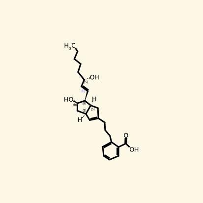 CCCCC[C@H](O)/C=C/[C@H]1[C@H]2CC(CCCc3ccccc3C(=O)O)=C[C@H]2C[C@H]1O